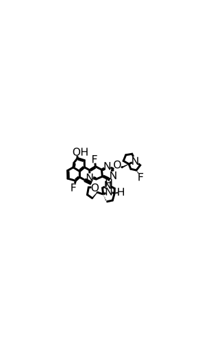 C#Cc1c(F)ccc2cc(O)cc(-c3ncc4c(N5C[C@@H]6CC[C@]([C@H]7CCCO7)(C5)N6)nc(OC[C@@]56CCCN5C[C@H](F)C6)nc4c3F)c12